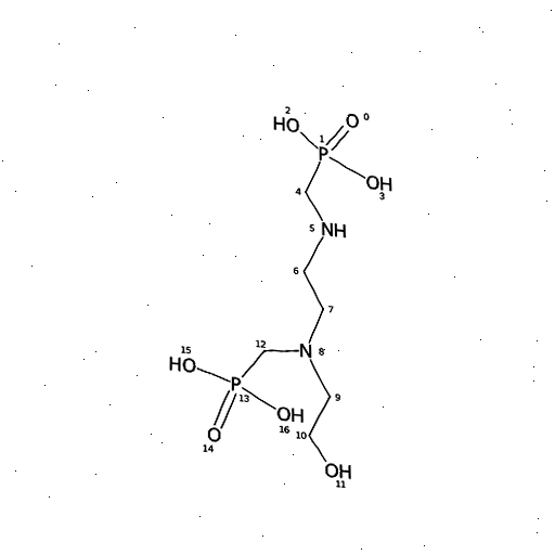 O=P(O)(O)CNCCN(CCO)CP(=O)(O)O